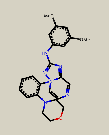 COc1cc(NC2=N[N+]3(c4ccccc4N4CCOCC4)C=CN=CC3=N2)cc(OC)c1